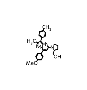 COc1ccc(-c2cc(N3CCCC3CO)nc3c(-c4ccc(C)cc4)c(C)nn23)cc1